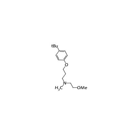 COCCN(C)CCCOc1ccc(C(C)(C)C)cc1